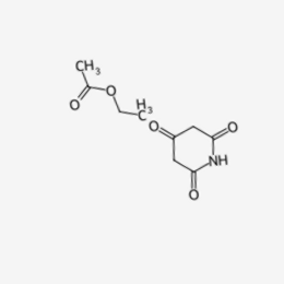 CCOC(C)=O.O=C1CC(=O)NC(=O)C1